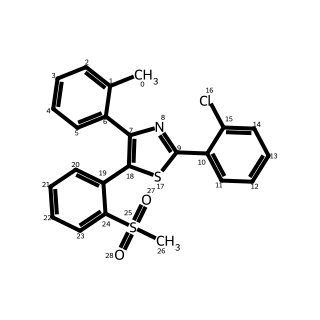 Cc1ccccc1-c1nc(-c2ccccc2Cl)sc1-c1ccccc1S(C)(=O)=O